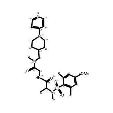 COc1cc(C)c(S(=O)(=O)N(C)C(C)C(=O)NCC(=O)N(C)CC2CCN(c3ccncc3)CC2)c(C)c1